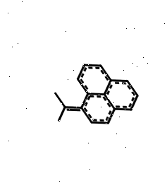 CC(C)=c1ccc2cccc3cccc1c32